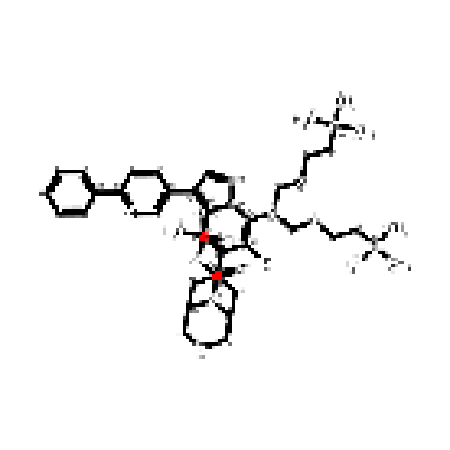 CC(C)(C)OC(=O)N1C2COCC1CC(c1nc3c(-c4ccc(-c5ccccc5)nc4)cnn3c(N(COCC[Si](C)(C)C)COCC[Si](C)(C)C)c1Br)C2